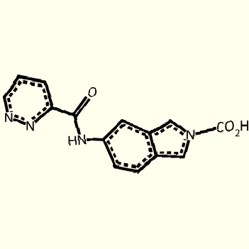 O=C(Nc1ccc2cn(C(=O)O)cc2c1)c1cccnn1